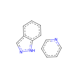 c1ccc2[nH]ncc2c1.c1ccncc1